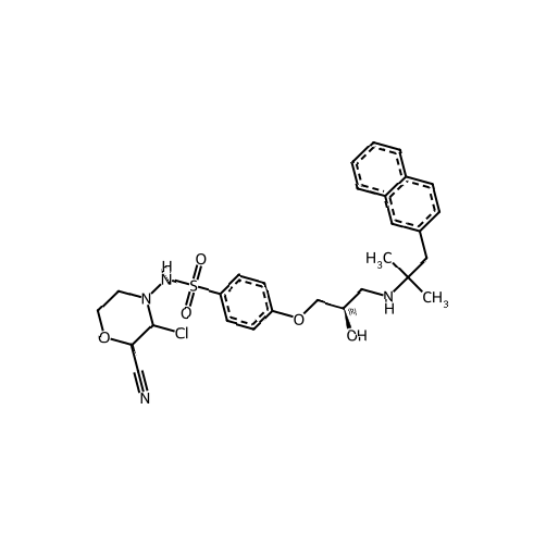 CC(C)(Cc1ccc2ccccc2c1)NC[C@@H](O)COc1ccc(S(=O)(=O)NN2CCOC(C#N)C2Cl)cc1